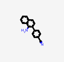 N#Cc1ccc(-c2ccc3ccccc3c2N)cc1